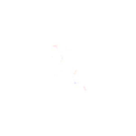 CC(C)(COC(C)(C)O)CC(=O)NC=O